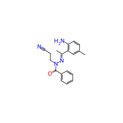 C/C(=N\N(CCC#N)C(=O)c1ccccc1)c1cc(C)ccc1N